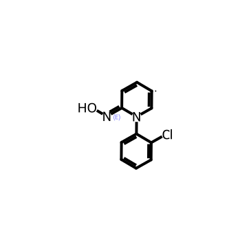 O/N=c1\cc[c]cn1-c1ccccc1Cl